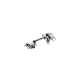 Cc1sc2c(c1C)C(c1ccc(Cl)cc1)=N[C@@H](CC(=O)NCCOCCOCCn1cc(CNc3cccc4cnn(C5CCC(=O)NC5=O)c(=O)c34)nn1)c1nnc(C)n1-2